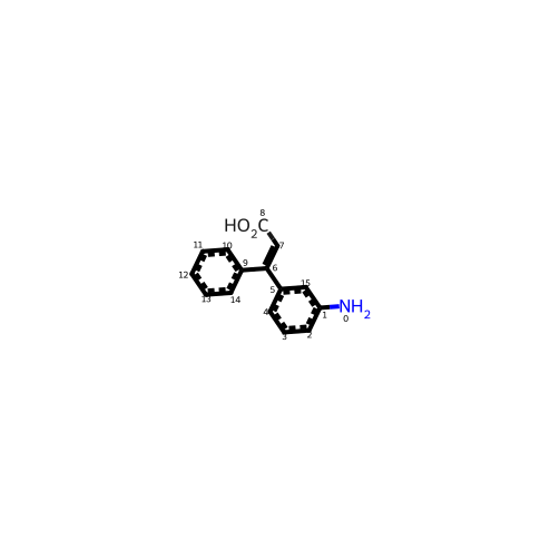 Nc1cccc(C(=CC(=O)O)c2ccccc2)c1